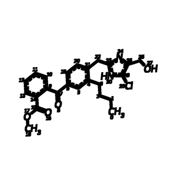 CCCCc1cc(C(=O)c2ccccc2C(=O)OC)ccc1Cc1nc(CO)c(Cl)[nH]1